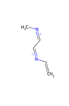 C=C/N=C\C=N/C